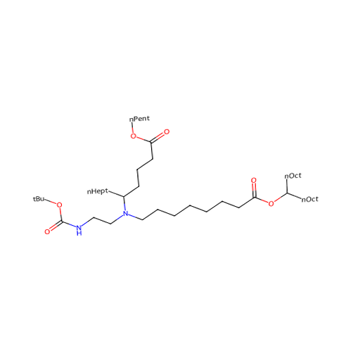 CCCCCCCCC(CCCCCCCC)OC(=O)CCCCCCCN(CCNC(=O)OC(C)(C)C)C(CCCCCCC)CCCC(=O)OCCCCC